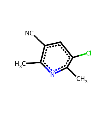 Cc1nc(C)c(C#N)cc1Cl